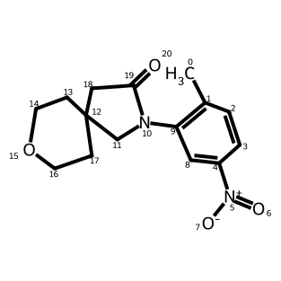 Cc1ccc([N+](=O)[O-])cc1N1CC2(CCOCC2)CC1=O